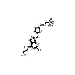 CCCNc1nc(Cl)nc2c1cnn2C[C@@H]1CC[C@@H](COCP(=O)(O)O)O1